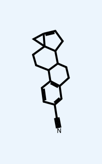 N#Cc1ccc2c(c1)CCC1C2CCC23CC2=CCC13